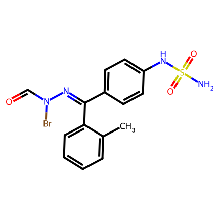 Cc1ccccc1/C(=N\N(Br)C=O)c1ccc(NS(N)(=O)=O)cc1